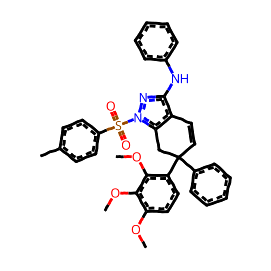 COc1ccc(C2(c3ccccc3)C=Cc3c(Nc4ccccc4)nn(S(=O)(=O)c4ccc(C)cc4)c3C2)c(OC)c1OC